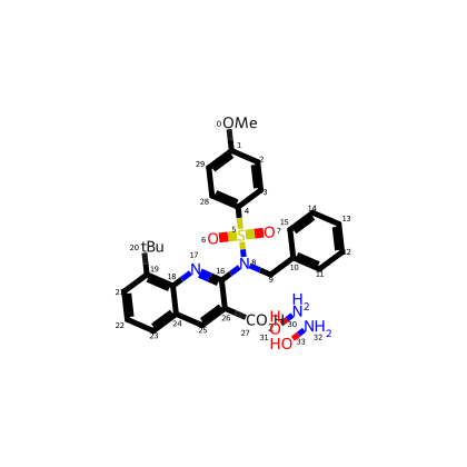 COc1ccc(S(=O)(=O)N(Cc2ccccc2)c2nc3c(C(C)(C)C)cccc3cc2C(=O)O)cc1.NO.NO